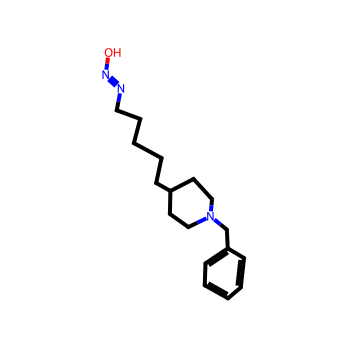 ON=NCCCCCC1CCN(Cc2ccccc2)CC1